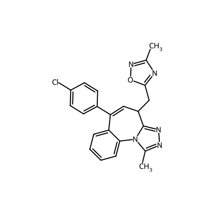 Cc1noc(CC2C=C(c3ccc(Cl)cc3)c3ccccc3-n3c(C)nnc32)n1